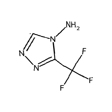 Nn1[c]nnc1C(F)(F)F